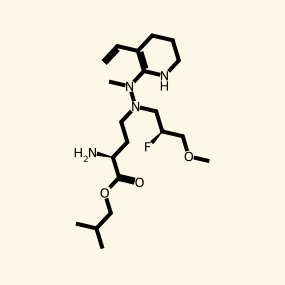 C=CC1=C(N(C)N(CC[C@H](N)C(=O)OCC(C)C)C[C@H](F)COC)NCCC1